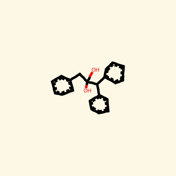 OC(O)(Cc1ccccc1)C(c1ccccc1)c1ccccc1